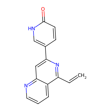 C=Cc1nc(-c2ccc(=O)[nH]c2)cc2ncccc12